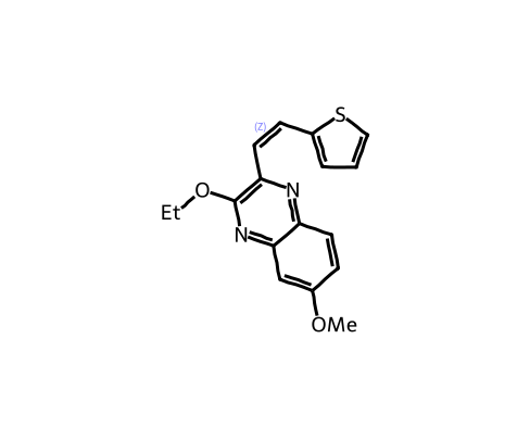 CCOc1nc2cc(OC)ccc2nc1/C=C\c1cccs1